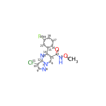 CONC(=O)c1cn2ncc(Cl)c2nc1-c1cccc(F)c1